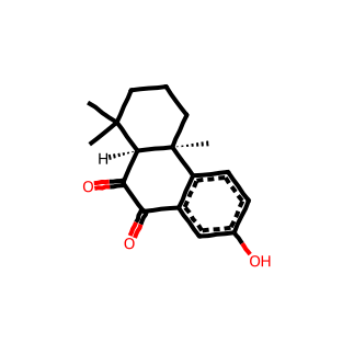 CC1(C)CCC[C@@]2(C)c3ccc(O)cc3C(=O)C(=O)[C@@H]12